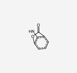 [NH]c1c2cccc1C(=O)O2